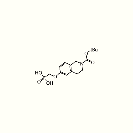 CC(C)(C)OC(=O)N1CCc2cc(OCP(=O)(O)O)ccc2C1